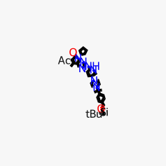 CC(=O)c1c(C)c2cnc(Nc3ccc(N4CCN(C(C)(C)c5ccc(CO[Si](C)(C)C(C)(C)C)cc5)CC4)cn3)nc2n(C2CCCC2)c1=O